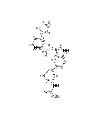 CCCCC(=O)Nc1cncc(-c2ccc3[nH]nc(-c4cc5c(-c6ccoc6)ccnc5[nH]4)c3c2)c1